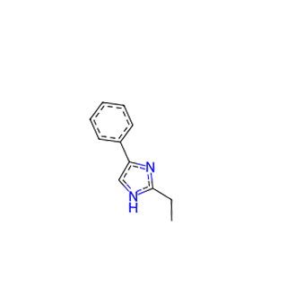 CCc1nc(-c2ccccc2)c[nH]1